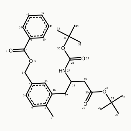 Cc1ccc(COC(=O)c2ccccc2)cc1CC(CC(=O)OC(C)(C)C)NC(=O)OC(C)(C)C